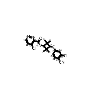 CC1(C)C(NC(=O)c2nnccc2Cl)C(C)(C)C1Oc1ccc(C#N)c(Cl)c1